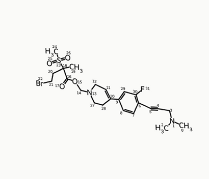 CN(C)CC#Cc1ccc(C2=CCN(COC(=O)C(C)(CCBr)S(C)(=O)=O)CC2)cc1F